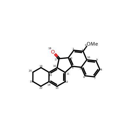 COc1cc2c(c3ccccc13)-c1ccc3c(c1C2=O)CCCC3